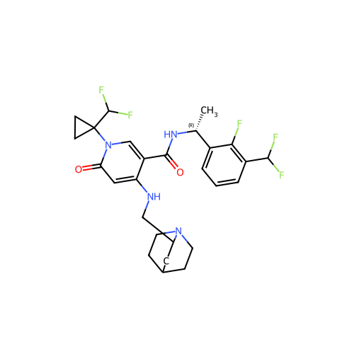 C[C@@H](NC(=O)c1cn(C2(C(F)F)CC2)c(=O)cc1NCC1CC2CCN1CC2)c1cccc(C(F)F)c1F